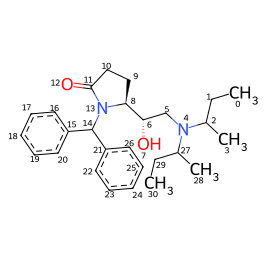 CCC(C)N(C[C@H](O)[C@@H]1CCC(=O)N1C(c1ccccc1)c1ccccc1)C(C)CC